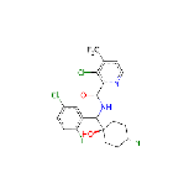 O=C(NC(c1cc(Cl)ccc1F)[C@]1(O)CC[C@H](F)CC1)c1nccc(C(F)(F)F)c1Cl